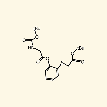 CC(C)(C)OC(=O)CSc1ccccc1OC(=O)CNC(=O)OC(C)(C)C